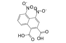 O=C(O)c1cc([N+](=O)[O-])c2c([N+](=O)[O-])cccc2c1C(=O)O